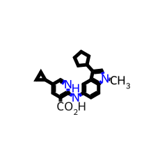 Cn1cc(C2CCCC2)c2cc(Nc3ncc(C4CC4)cc3C(=O)O)ccc21